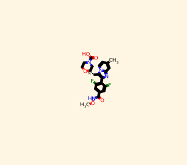 CONC(=O)c1cc(F)c(-c2nc3cc(C)ccn3c2C[C@H]2CN(C(=O)O)CCO2)c(F)c1